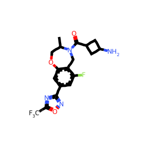 CC1COc2cc(-c3noc(C(F)(F)F)n3)cc(F)c2CN1C(=O)C1CC(N)C1